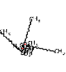 CCCCCCCCCCCCCCCCC(C)C(=O)C(O)(CO)C(O)(C(=O)C(C)CCCCCCCCCCCCCCCC)C(=O)C(C)CCCCCCCCCCCCCCCC